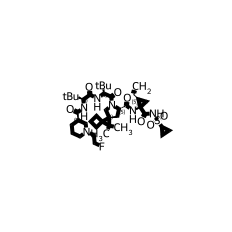 C=C[C@@H]1C[C@]1(NC(=O)[C@@H]1C[C@@]2(CN1C(=O)[C@@H](NC(=O)[C@@H](NC(=O)[C@@H]1CCCN(CCF)C1)C(C)(C)C)C(C)(C)C)C(C)(C)C21CCC1)C(=O)NS(=O)(=O)C1CC1